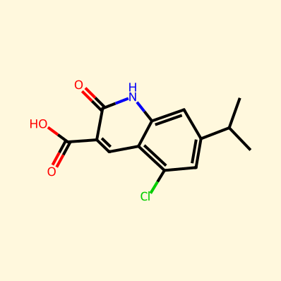 CC(C)c1cc(Cl)c2cc(C(=O)O)c(=O)[nH]c2c1